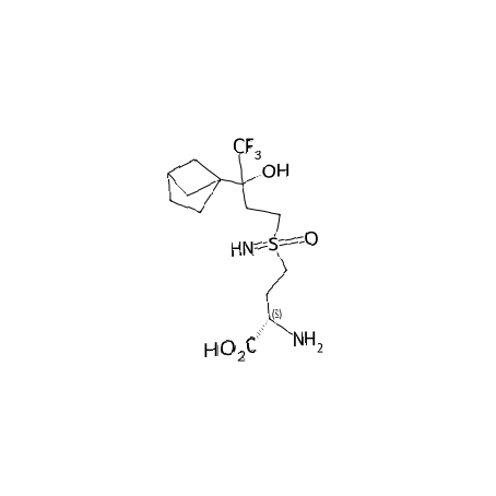 N=S(=O)(CC[C@H](N)C(=O)O)CCC(O)(C(F)(F)F)C12CCC(C1)C2